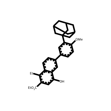 CCOC(=O)c1cc(O)c2cc(-c3ccc(OC)c(C45CC6CC(CC(C6)C4)C5)c3)ccc2c1CC